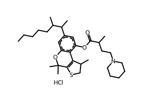 CCCCCC(C)C(C)c1cc(OC(=O)C(C)CCN2CCCCC2)c2c(c1)OC(C)(C)C1=C2C(C)CS1.Cl